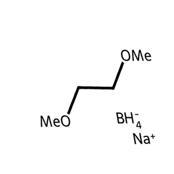 COCCOC.[BH4-].[Na+]